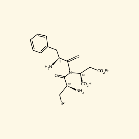 CCOC(=O)C[C@@H](C(=O)O)N(C(=O)[C@@H](N)Cc1ccccc1)C(=O)[C@@H](N)CC(C)C